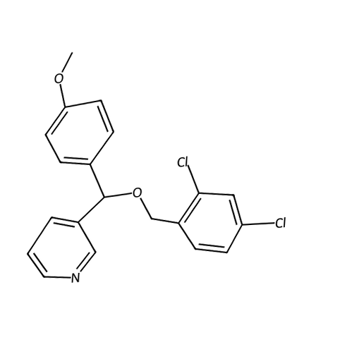 COc1ccc(C(OCc2ccc(Cl)cc2Cl)c2cccnc2)cc1